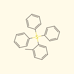 Cc1ccccc1S(c1ccccc1)(c1ccccc1)c1ccccc1